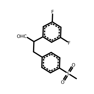 CS(=O)(=O)c1ccc(CC(C=O)c2cc(F)cc(F)c2)cc1